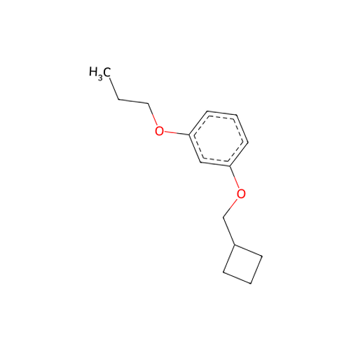 CCCOc1cccc(OCC2CCC2)c1